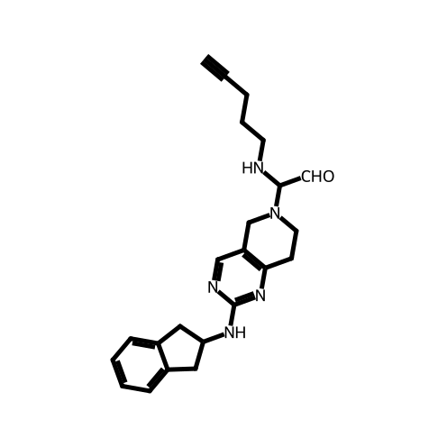 C#CCCCNC(C=O)N1CCc2nc(NC3Cc4ccccc4C3)ncc2C1